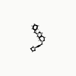 C(#CN1CCCC1)CN1CCC2=C(CN(Cc3ccccc3)C=N2)C1